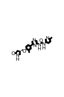 Cc1ccc(NC(=O)Nc2cncc(-c3ccc(OC[C@@H]4CNC(=O)C4)c(C)c3)n2)cn1